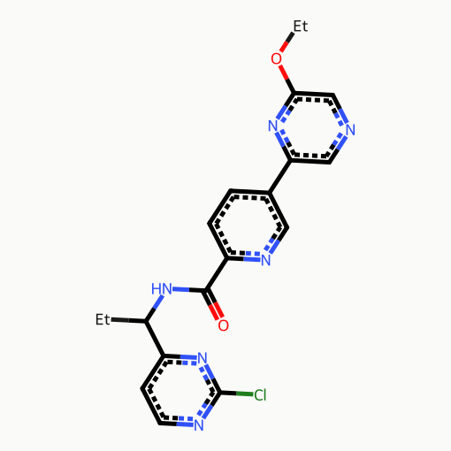 CCOc1cncc(-c2ccc(C(=O)NC(CC)c3ccnc(Cl)n3)nc2)n1